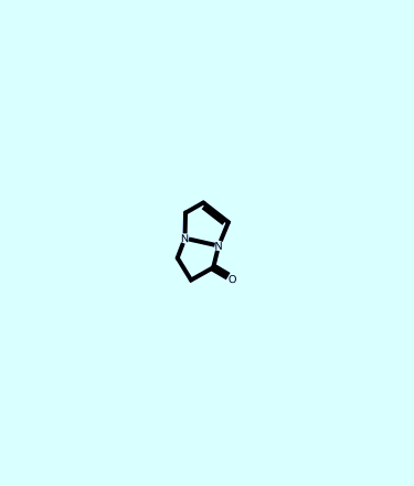 O=C1CCN2CC=CN12